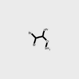 CCCC(O[SiH3])C(Br)Br